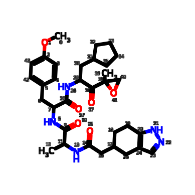 COc1ccc(CC(NC(=O)C(C)NC(=O)CC2CCc3[nH]ncc3C2)C(=O)NC(CC2CCCC2)C(=O)C2(C)CO2)cc1